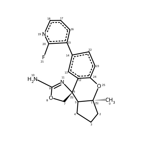 C[C@]12CCCC1[C@@]1(COC(N)=N1)c1cc(-c3cccnc3F)ccc1O2